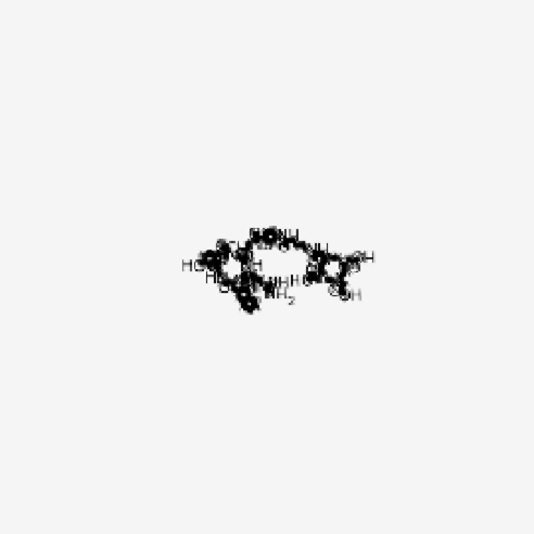 CN1[C@H](CCCNC(=O)c2ccc(NC(=O)CCCCNC(=O)CN3CCN(CC(=O)O)CCN(CC(=O)O)CCN(CC(=O)O)CC3)cc2)C(=O)N[C@@H](CCCNC(=N)N)C(=O)N[C@@H](Cc2ccc3ccccc3c2)C(=O)NCC(=O)N[C@]1(C=O)Cc1ccc(O)cc1